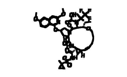 CC[C@@H]1OCCC/C=C\[C@@H]2C[C@@]2(C(=O)NS(=O)(=O)C2(C)CC2)NC(=O)[C@@H]2C[C@@H](Oc3nc(OC)cc4cc(OC)ccc34)CN2C(=O)[C@H]1N(C(=O)O)C(C)(C)C(F)(F)F